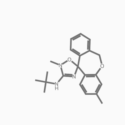 Cc1ccc2c(c1)OCc1ccccc1C21N=C(NC(C)(C)C)N(C)O1